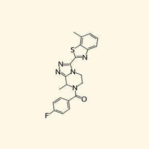 Cc1cccc2nc(-c3nnc4n3CCN(C(=O)c3ccc(F)cc3)C4C)sc12